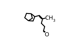 CC(=CC1CC2CCC1C2)CCC=O